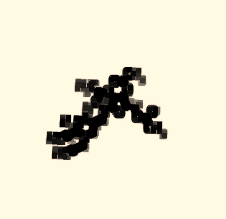 C#CCN(CC#C)C/C(=C/N[C@@H]1O[C@H](COC(C)=O)C(OC(C)=O)C1OC(C)=O)NN